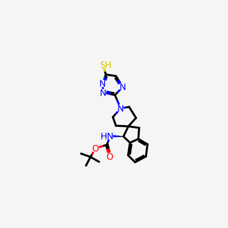 CC(C)(C)OC(=O)N[C@@H]1c2ccccc2CC12CCN(c1ncc(S)nn1)CC2